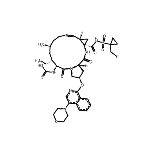 CC[C@@H]1C[C@@H](C)CCC=C[C@@H]2C[C@@]2(C(=O)NS(=O)(=O)C2(CF)CC2)NC(=O)[C@@H]2C[C@@H](Oc3ncc(N4CCOCC4)c4ccccc34)CN2C(=O)[C@H]1NC(=O)O